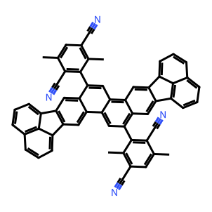 Cc1cc(C#N)c(C)c(-c2cc3c4cc5c(cc4c(-c4c(C)c(C#N)cc(C)c4C#N)cc3c3cc4c(cc23)-c2cccc3cccc-4c23)-c2cccc3cccc-5c23)c1C#N